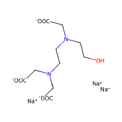 O=C([O-])CN(CCO)CCN(CC(=O)[O-])CC(=O)[O-].[Na+].[Na+].[Na+]